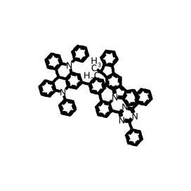 CC1(C)c2ccccc2-c2cc3c4ccccc4n(-c4c(-c5cccc(-c6cc7c8c(c6)N(c6ccccc6)c6ccccc6C8c6ccccc6N7c6ccccc6)c5)cccc4-c4nc(-c5ccccc5)nc(-c5ccccc5)n4)c3cc21